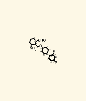 N[C@H]1CCCN(C=O)[C@H]1CO[C@H]1CC[C@@H](c2ccc(F)cc2F)CC1